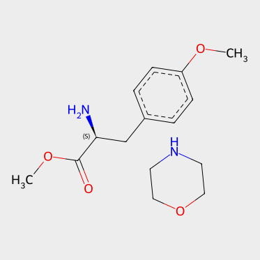 C1COCCN1.COC(=O)[C@@H](N)Cc1ccc(OC)cc1